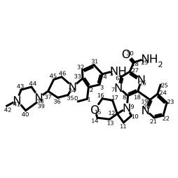 CCc1cc(Nc2nc(N3CCC34CCOCC4)c(-c3ncccc3C)nc2C(N)=O)ccc1N1CCC(N2CCN(C)CC2)CC1